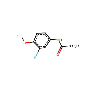 CCCCOc1ccc(NC(=O)C(=O)OCC)cc1F